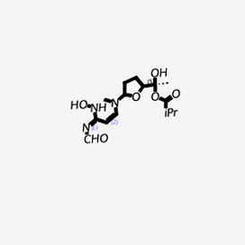 CC(C)C(=O)O[C@](C)(O)C1CCC(N(C)/C=C\C(=N/C=O)NO)O1